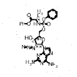 CC(C)OC(=O)[C@H](C)NP(=O)(OC[C@H]1O[C@@H](n2cnc3c(N)nc(N)nc32)[C@H](N=[N+]=[N-])[C@@H]1O)Oc1ccccc1